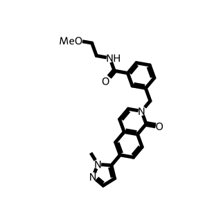 COCCNC(=O)c1cccc(Cn2ccc3cc(-c4ccnn4C)ccc3c2=O)c1